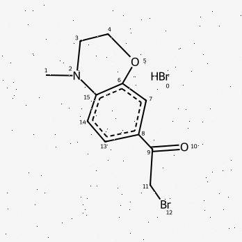 Br.CN1CCOc2cc(C(=O)CBr)ccc21